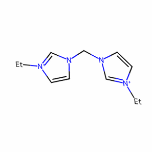 CC[n+]1ccn(Cn2cc[n+](CC)c2)c1